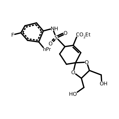 CCCc1cc(F)ccc1NS(=O)(=O)C1CCC2(C=C1C(=O)OCC)OC(CO)C(CO)O2